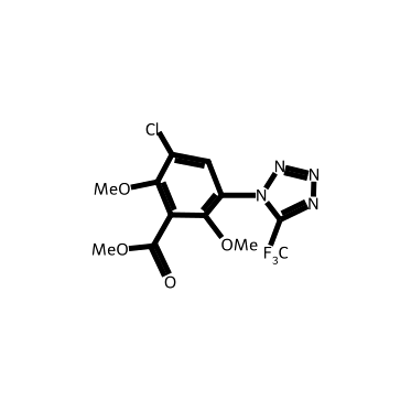 COC(=O)c1c(OC)c(Cl)cc(-n2nnnc2C(F)(F)F)c1OC